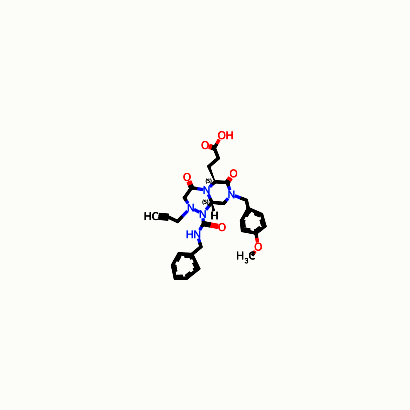 C#CCN1CC(=O)N2[C@@H](CCC(=O)O)C(=O)N(Cc3ccc(OC)cc3)C[C@@H]2N1C(=O)NCc1ccccc1